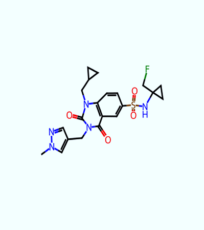 Cn1cc(Cn2c(=O)c3cc(S(=O)(=O)NC4(CF)CC4)ccc3n(CC3CC3)c2=O)cn1